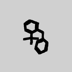 CC(C)(C)c1ccccc1[CH]c1ccccc1